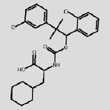 CC(C)(c1cccc(Cl)c1)C(OC(=O)N[C@@H](CC1CCCCC1)C(=O)O)c1ccccc1Cl